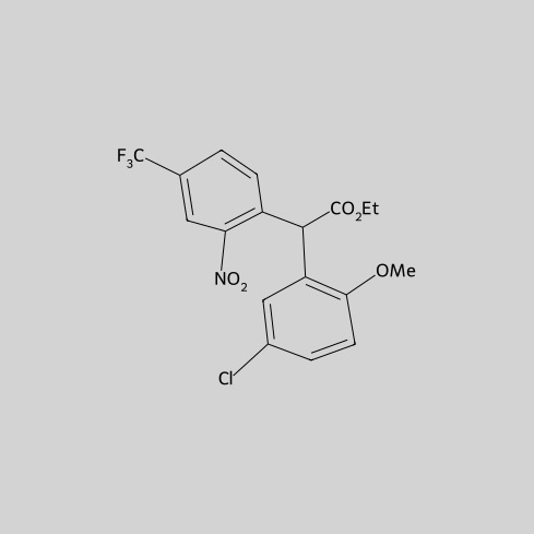 CCOC(=O)C(c1cc(Cl)ccc1OC)c1ccc(C(F)(F)F)cc1[N+](=O)[O-]